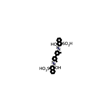 Cc1cc(-c2ccc(/N=N/c3cc(S(=O)(=O)O)c4ccccc4c3O)c(C)c2)ccc1/N=N/c1cc(S(=O)(=O)O)c2ccccc2c1O